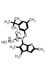 CC1=C(C)[CH]([Ti]([O]c2cc(C)cc(C(C)(C)C)c2)[SiH](C)C)c2sc(C)cc21.Cl.Cl